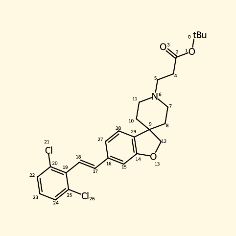 CC(C)(C)OC(=O)CCN1CCC2(CC1)COc1cc(/C=C/c3c(Cl)cccc3Cl)ccc12